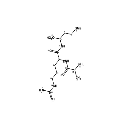 CSCCC(NC(=O)C(CCCNC(=N)N)NC(=O)C(C)N)C(=O)O